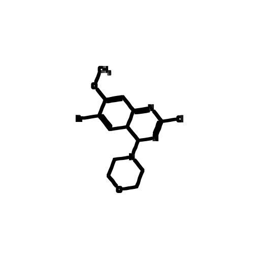 COC1=CC2=NC(Cl)=NC(N3CCOCC3)C2C=C1Br